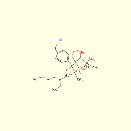 CCCCC(CC)COC(c1ccc(CN)cc1)(C(C)(C)C)C(CO)(CO)C(O)C(C)(C)C